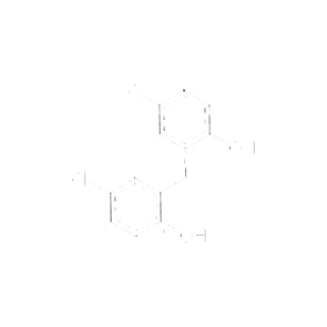 Cc1ccc(O)c(Cc2cc(Cl)ccc2O)c1